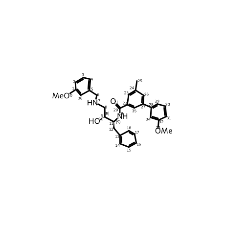 COc1cccc(CNC[C@@H](O)[C@H](Cc2ccccc2)NC(=O)c2cc(C)cc(-c3cccc(OC)c3)c2)c1